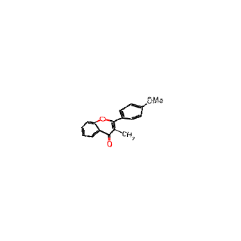 COc1ccc(-c2oc3ccccc3c(=O)c2C)cc1